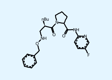 CCCC[C@H](CNOCc1ccccc1)C(=O)N1CCCC1C(=O)Nc1ccc(F)cn1